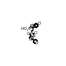 CC(C)(C)N(C(=O)O)[C@H](CCn1c(Cl)nn2c(C3CCOCC3)ncc2c1=O)c1ccc(Cl)cc1